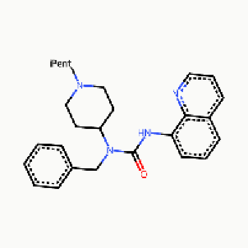 CCCC(C)N1CCC(N(Cc2ccccc2)C(=O)Nc2cccc3cccnc23)CC1